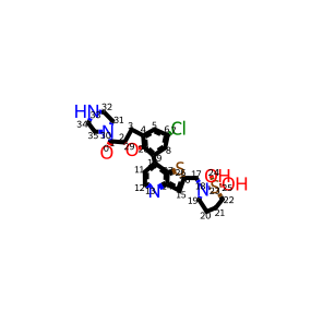 O=C(C1Cc2cc(Cl)cc(-c3ccnc4cc(CN5CCCCS5(O)O)sc34)c2O1)N1CCNCC1